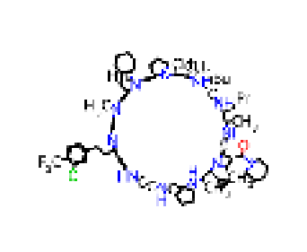 CC[C@H](C)[C@H]1CN[C@@H](CC(C)C)C(C)NCC2[C@@H](C(=O)N3CCCCC3)C(C)N2[C@@H](C2CC2)C(C)NC2(CCCC2)CNCCNC=CC(CCc2ccc(C(F)(F)F)c(Cl)c2)=NC=CN(C)C=C(CC2CCCCC2)N(C)C=C2CCCN2[C@@H](C)C(C)N1